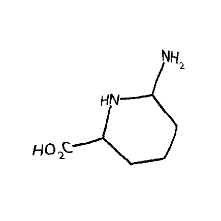 NC1CCCC(C(=O)O)N1